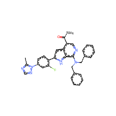 CNC(=O)c1cnc(N(Cc2ccccc2)Cc2ccccc2)c2[nH]c(-c3ccc(-n4ncnc4C)cc3F)cc12